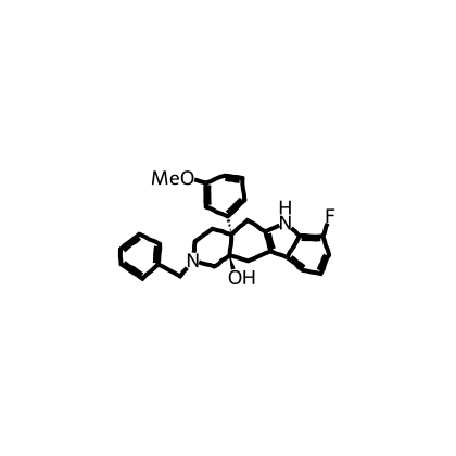 COc1cccc([C@@]23CCN(Cc4ccccc4)C[C@@]2(O)Cc2c([nH]c4c(F)cccc24)C3)c1